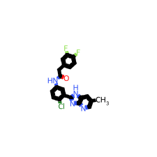 Cc1cnc2nc(-c3cc(NC(=O)Cc4ccc(F)c(F)c4)ccc3Cl)[nH]c2c1